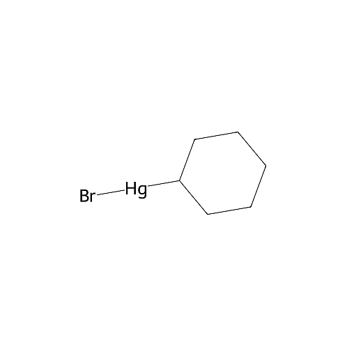 [Br][Hg][CH]1CCCCC1